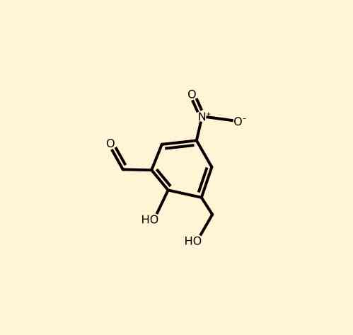 O=Cc1cc([N+](=O)[O-])cc(CO)c1O